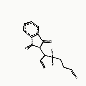 C=CC(N1C(=O)c2ccccc2C1=O)C(F)(F)CCC=O